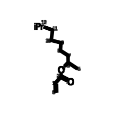 C=CC(=O)OC(C)CCCCCC(C)C